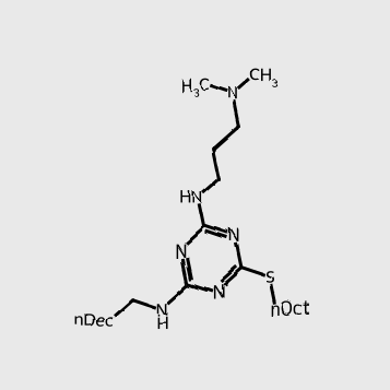 CCCCCCCCCCCNc1nc(NCCCN(C)C)nc(SCCCCCCCC)n1